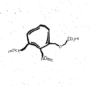 CCCCCCCCCCc1c(CCCCCCCC)cccc1OC(=O)O